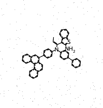 C/C=C(\c1c(N)sc2ccccc12)N(c1ccc(-c2ccccc2)cc1)c1ccc(-c2cc3ccccc3c3c2ccc2ccccc23)cc1